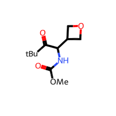 COC(=O)NC(C(=O)C(C)(C)C)C1COC1